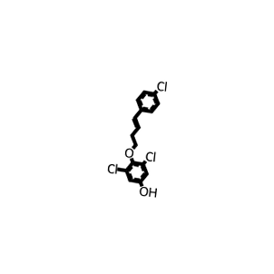 Oc1cc(Cl)c(OCCC=Cc2ccc(Cl)cc2)c(Cl)c1